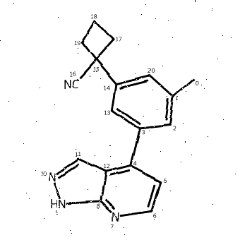 Cc1cc(-c2ccnc3[nH]ncc23)cc(C2(C#N)CCC2)c1